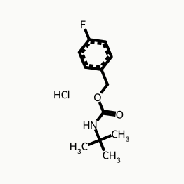 CC(C)(C)NC(=O)OCc1ccc(F)cc1.Cl